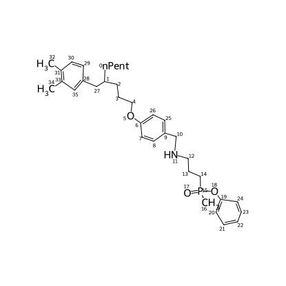 CCCCCC(CCCOc1ccc(CNCCCP(C)(=O)Oc2ccccc2)cc1)Cc1ccc(C)c(C)c1